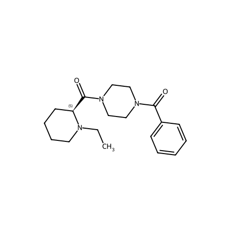 CCN1CCCC[C@H]1C(=O)N1CCN(C(=O)c2ccccc2)CC1